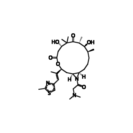 CC(=Cc1csc(C)n1)[C@@H]1C[C@H]2[C@@H](CCC[C@H](C)[C@H](O)[C@@H](C)C(=O)C(C)(C)[C@@H](O)CC(=O)O1)N2C(=O)CN(C)C